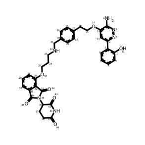 Nc1nnc(-c2ccccc2O)cc1OCCc1ccc(CNCCCOc2cccc3c2C(=O)N(C2CCC(=O)NC2=O)C3=O)cc1